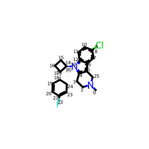 CN1CCc2c(c3cc(Cl)ccc3n2[C@@H]2CC[C@H]2C2C=CC(F)=CC2)C1